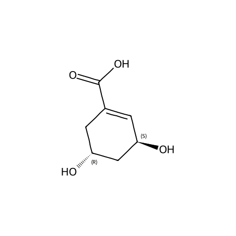 O=C(O)C1=C[C@@H](O)C[C@H](O)C1